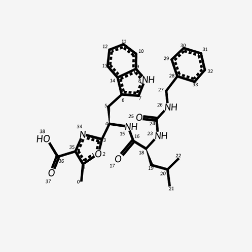 Cc1oc([C@@H](Cc2c[nH]c3ccccc23)NC(=O)[C@H](CC(C)C)NC(=O)NCc2ccccc2)nc1C(=O)O